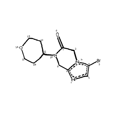 O=C1Cn2c(Br)cnc2CN1C1CCOCC1